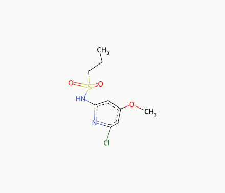 CCCS(=O)(=O)Nc1cc(OC)cc(Cl)n1